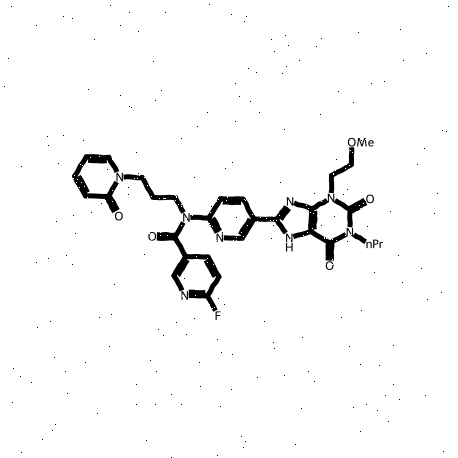 CCCn1c(=O)c2[nH]c(-c3ccc(N(CCCn4ccccc4=O)C(=O)c4ccc(F)nc4)nc3)nc2n(CCOC)c1=O